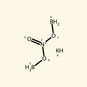 BO[N+](=O)OB.[KH]